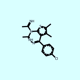 C/N=C(/c1ccc(Cl)cc1)c1c(N(C(C)=N)C(C)=N)sc(C)c1C